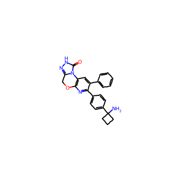 NC1(c2ccc(-c3nc4c(cc3-c3ccccc3)-n3c(n[nH]c3=O)CO4)cc2)CCC1